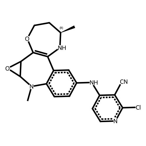 C[C@@H]1CCOC2=C(N1)c1cc(Nc3ccnc(Cl)c3C#N)ccc1N(C)C1OC21